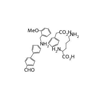 COc1ccccc1CN.NCCCCC(N)C(=O)O.O=C(O)Cc1ccccc1.O=Cc1ccc(-c2ccccc2)cc1